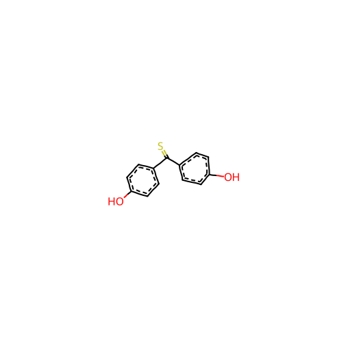 Oc1ccc(C(=S)c2ccc(O)cc2)cc1